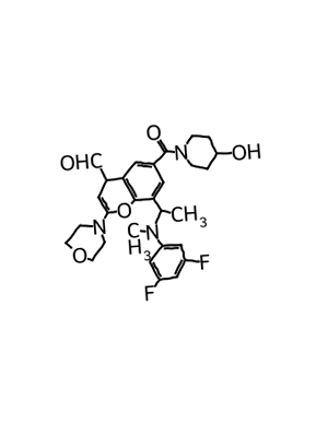 CC(c1cc(C(=O)N2CCC(O)CC2)cc2c1OC(N1CCOCC1)=CC2C=O)N(C)c1cc(F)cc(F)c1